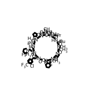 CC[C@H](C)[C@@H]1NC(=O)[C@H](CC(C)C)N(C)C(=O)C[C@@H](C(=O)N(C)C)N(C)C(=O)[C@H](C2CCCC2)N(C)C(=O)[C@H](C(C)C)NC(=O)[C@H](CCN2CCCC(F)(F)C2)N(C)C(=O)[C@H](CCc2ccc(C(F)(F)F)c(Cl)c2)NC(=O)CN(C)C(=O)[C@H](CC2CCCCC2)N(C)C(=O)[C@@H]2CCN2C(=O)[C@H](C)N(C)C1=O